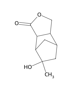 CC1(O)CC2CC1C1C(=O)OCC21